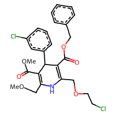 COCC1=C(C(=O)OC)C(c2cccc(Cl)c2)C(C(=O)OCc2ccccc2)=C(COCCCl)N1